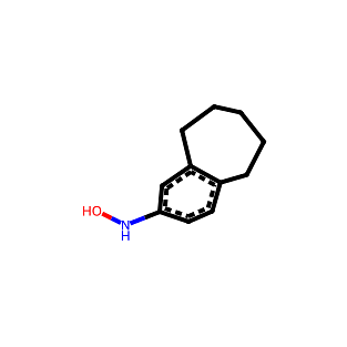 ONc1ccc2c(c1)CCCCC2